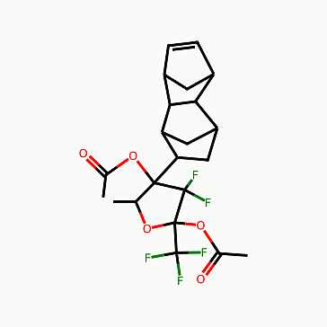 CC(=O)OC1(C2CC3CC2C2C4C=CC(C4)C32)C(C)OC(OC(C)=O)(C(F)(F)F)C1(F)F